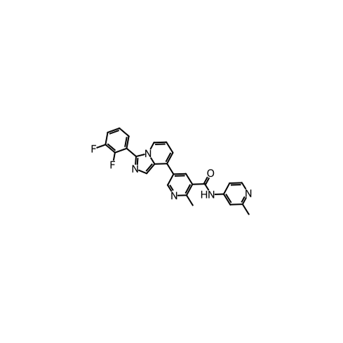 Cc1cc(NC(=O)c2cc(-c3cccn4c(-c5cccc(F)c5F)ncc34)cnc2C)ccn1